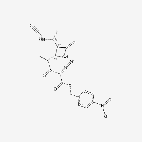 CC(C(=O)C(=[N+]=[N-])C(=O)OCc1ccc([N+](=O)[O-])cc1)[C@H]1NC(=O)[C@@H]1[C@@H](C)NC#N